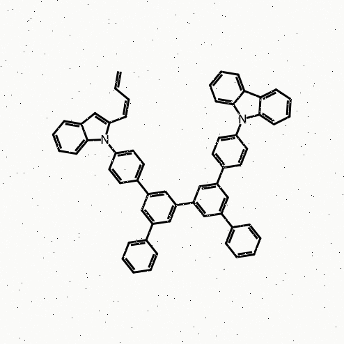 C=C/C=C\c1cc2ccccc2n1-c1ccc(-c2cc(-c3ccccc3)cc(-c3cc(-c4ccccc4)cc(-c4ccc(-n5c6ccccc6c6ccccc65)cc4)c3)c2)cc1